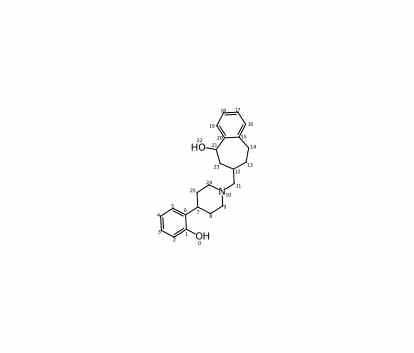 Oc1ccccc1C1CCN(CC2CCc3ccccc3C(O)C2)CC1